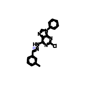 Cc1cccc(/C=N/Nc2nc(Cl)nc3c2ncn3-c2ccccc2)c1